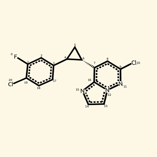 Fc1cc(C2C[C@@H]2c2cc(Cl)nn3ccnc23)ccc1Cl